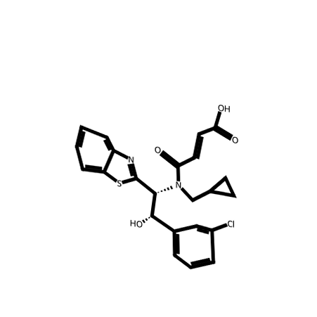 O=C(O)/C=C/C(=O)N(CC1CC1)[C@@H](c1nc2ccccc2s1)[C@@H](O)c1cccc(Cl)c1